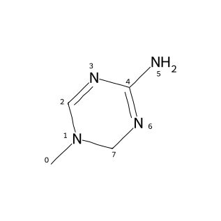 CN1C=NC(N)=NC1